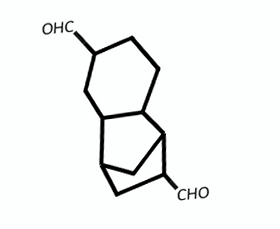 O=CC1CCC2C3CC(CC3C=O)C2C1